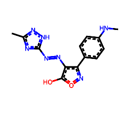 CNc1ccc(-c2noc(O)c2N=Nc2nc(C)n[nH]2)cc1